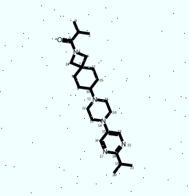 CC(C)C(=O)N1CC2(CCC(N3CCN(c4cnc(C(C)C)nc4)CC3)CC2)C1